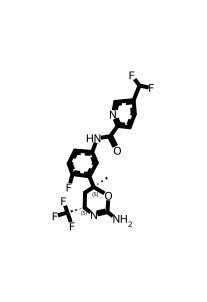 C[C@@]1(c2cc(NC(=O)c3ccc(C(F)F)cn3)ccc2F)C[C@@H](C(F)(F)F)N=C(N)O1